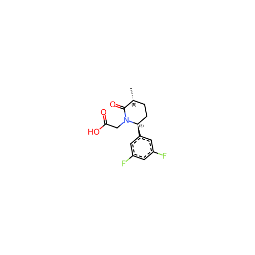 C[C@@H]1CC[C@@H](c2cc(F)cc(F)c2)N(CC(=O)O)C1=O